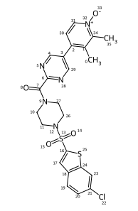 Cc1c(-c2cnc(C(=O)N3CCN(S(=O)(=O)c4cc5ccc(Cl)cc5s4)CC3)nc2)cc[n+]([O-])c1C